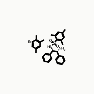 Cc1cc(C)c(S(=O)(=O)N[C@H](c2ccccc2)[C@H](N)c2ccccc2)c(C)c1.Cc1ccc(C)c(C)c1.[Ru]